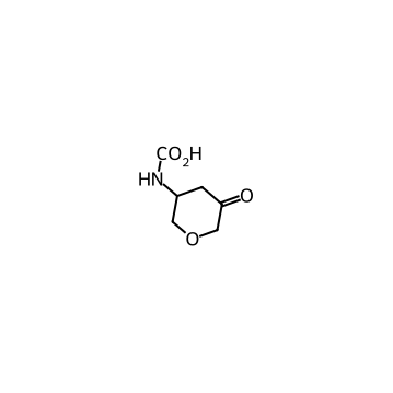 O=C1COCC(NC(=O)O)C1